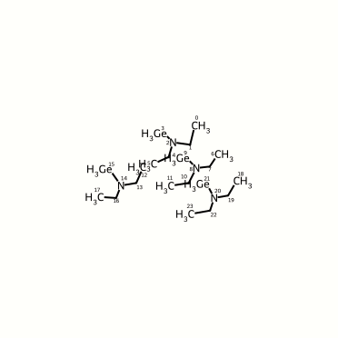 CC[N]([GeH3])CC.CC[N]([GeH3])CC.CC[N]([GeH3])CC.CC[N]([GeH3])CC